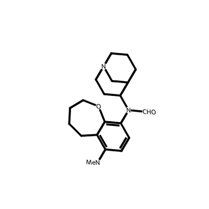 CNc1ccc(N(C=O)C2CCN3CCCC2C3)c2c1CCCCO2